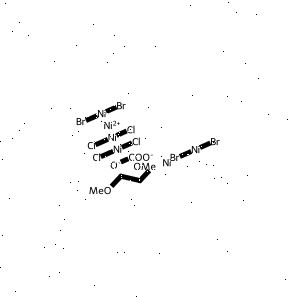 COCCOC.O=C([O-])[O-].[Br][Ni][Br].[Br][Ni][Br].[Cl][Ni][Cl].[Cl][Ni][Cl].[Ni+2].[Ni]